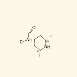 C[C@@H]1CCC[C@H](C)N1.O=CNCl